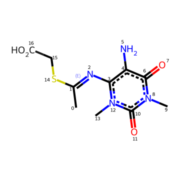 C/C(=N\c1c(N)c(=O)n(C)c(=O)n1C)SCC(=O)O